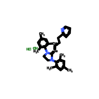 Cc1cc(C)c(N2CCN(c3c(C)cc(C)cc3C)[C]2=[Ru]=[CH]CCc2ccccn2)c(C)c1.Cl.Cl